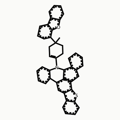 CC1(c2cccc3c2oc2ccccc23)CC=C(N(c2ccccc2-c2ccc3sc4ccccc4c3c2)c2cccc3ccccc23)CC1